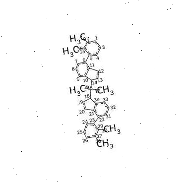 Cc1cccc(-c2cccc3c2C=CC3C(C)(C)C2C=Cc3c(-c4cccc(C)c4C)cccc32)c1C